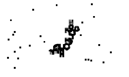 COc1cc(CNCC2CCC(Nc3nccc(N(C)C)n3)CC2)cc(F)c1O